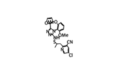 COc1cccc(OC)c1-n1c(NSC(C)Cc2ncc(Cl)cc2C#N)nnc1-c1ccco1